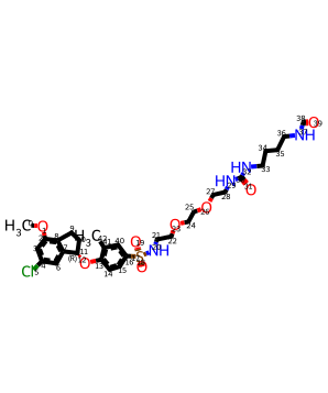 COc1cc(Cl)cc2c1CC[C@H]2Oc1ccc(S(=O)(=O)NCCOCCOCCNC(=O)NCCCCNC=O)cc1C